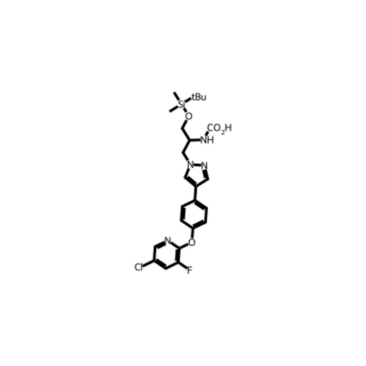 CC(C)(C)[Si](C)(C)OCC(Cn1cc(-c2ccc(Oc3ncc(Cl)cc3F)cc2)cn1)NC(=O)O